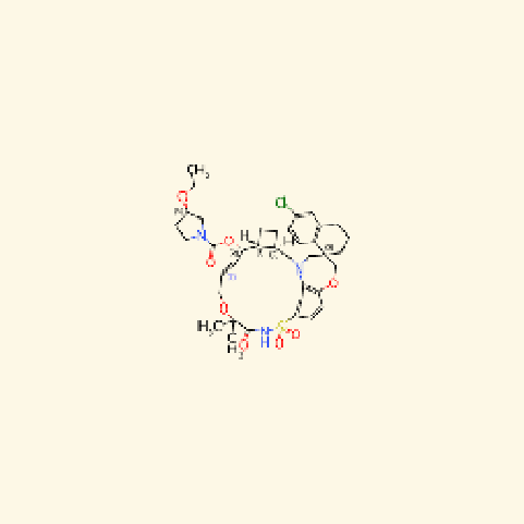 CCO[C@@H]1CCN(C(=O)O[C@H]2/C=C/COC(C)(C)C(=O)NS(=O)(=O)c3ccc4c(c3)N(C[C@@H]3CC[C@H]32)C[C@@]2(CCCc3cc(Cl)ccc32)CO4)C1